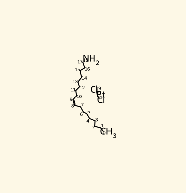 CCCCCCCC/C=C\CCCCCCCCN.[Cl][Pt][Cl]